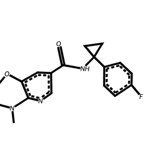 CN1CCOc2cc(C(=O)NC3(c4ccc(F)cc4)CC3)cnc21